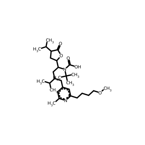 COCCCCc1cc(CC(CC(C2CC(C(C)C)C(=O)O2)N(C(=O)O)C(C)(C)C)C(C)C)cc(C)n1